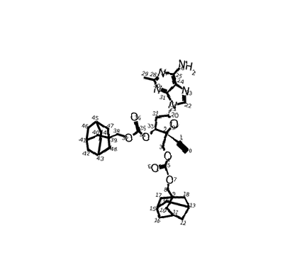 C#C[C@]1(COC(=O)OCC23CC4CC(CC(C4)C2)C3)O[C@@H](n2cnc3c(N)nc(C)nc32)C[C@@H]1OC(=O)OCC12CC3CC(CC(C3)C1)C2